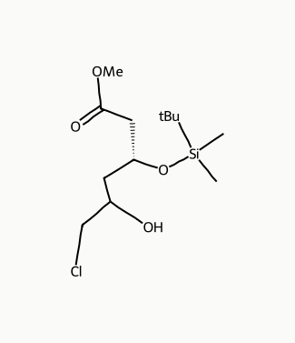 COC(=O)C[C@@H](CC(O)CCl)O[Si](C)(C)C(C)(C)C